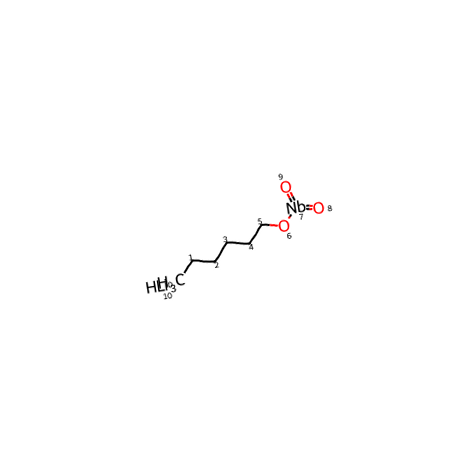 CCCCCC[O][Nb](=[O])=[O].[LiH]